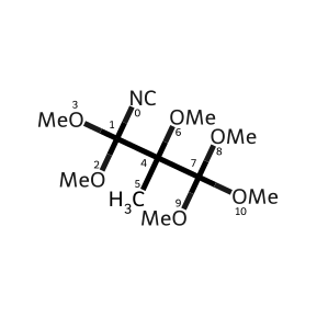 [C-]#[N+]C(OC)(OC)C(C)(OC)C(OC)(OC)OC